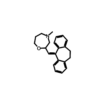 CN1CCCOC(C=C2c3ccccc3CCc3ccccc32)C1